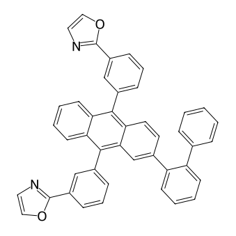 c1ccc(-c2ccccc2-c2ccc3c(-c4cccc(-c5ncco5)c4)c4ccccc4c(-c4cccc(-c5ncco5)c4)c3c2)cc1